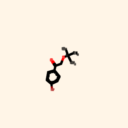 CC(C)(C)[Si](C)(C)OCC(=O)c1ccc(Br)cc1